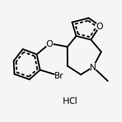 CN1CCC(Oc2ccccc2Br)c2ccoc2C1.Cl